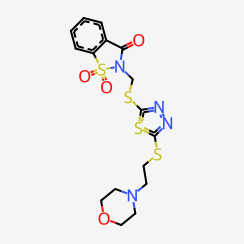 O=C1c2ccccc2S(=O)(=O)N1CSc1nnc(SCCN2CCOCC2)s1